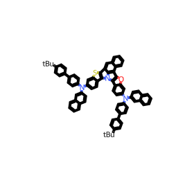 CC(C)(C)c1ccc(-c2ccc(N(c3ccc4ccccc4c3)c3ccc4c(c3)oc3c5c6ccccc6cc6c7sc8cc(N(c9ccc(-c%10ccc(C(C)(C)C)cc%10)cc9)c9ccc%10ccccc%10c9)ccc8c7n(c43)c65)cc2)cc1